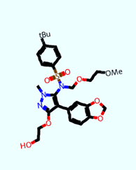 COCCOCN(c1c(-c2ccc3c(c2)OCO3)c(OCCO)nn1C)S(=O)(=O)c1ccc(C(C)(C)C)cc1